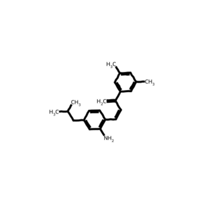 C=C(/C=C\c1ccc(CC(C)C)cc1N)c1cc(C)cc(C)c1